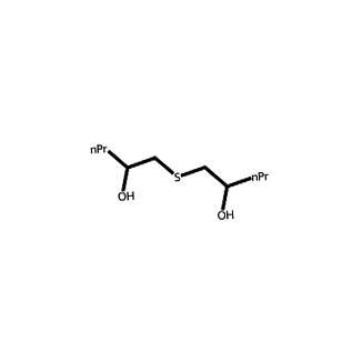 CCCC(O)CSCC(O)CCC